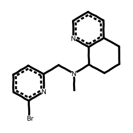 CN(Cc1cccc(Br)n1)C1CCCc2cccnc21